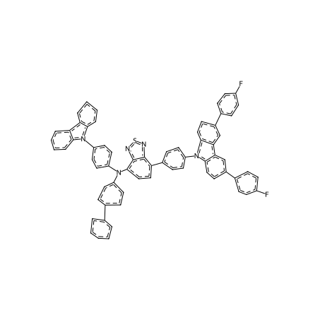 Fc1ccc(-c2ccc3c(c2)c2cc(-c4ccc(F)cc4)ccc2n3-c2ccc(-c3ccc(N(c4ccc(-c5ccccc5)cc4)c4ccc(-n5c6ccccc6c6ccccc65)cc4)c4nsnc34)cc2)cc1